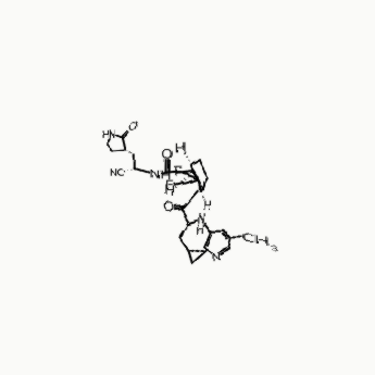 Cc1cncc(N[C@@H](CC2CC2)C(=O)N2[C@@H]3CC[C@H]([C@@H]2C(=O)N[C@H](C#N)C[C@@H]2CCNC2=O)C(F)(F)C3)c1